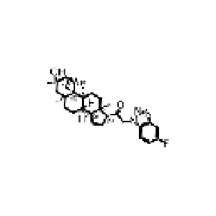 COC[C@]12CC[C@@](C)(O)C[C@]1(C)CC[C@H]1[C@@H]3CC[C@H](C(=O)Cn4nnc5cc(F)ccc54)[C@@]3(C)CC[C@@]12C